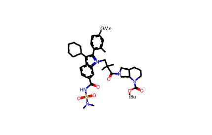 COc1ccc(-c2c(C3CCCCC3)c3ccc(C(=O)NS(=O)(=O)N(C)C)cc3n2CC(C)(C)C(=O)N2CC3CCCN(C(=O)OC(C)(C)C)C3C2)c(C)c1